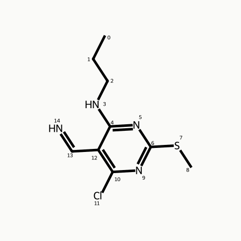 CCCNc1nc(SC)nc(Cl)c1C=N